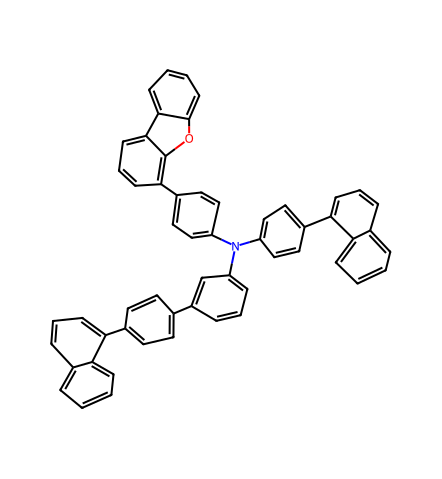 c1cc(-c2ccc(-c3cccc4ccccc34)cc2)cc(N(c2ccc(-c3cccc4ccccc34)cc2)c2ccc(-c3cccc4c3oc3ccccc34)cc2)c1